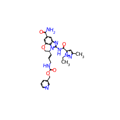 CCn1nc(C)cc1C(=O)Nc1nc2cc(C(N)=O)cc3c2n1[C@@H](/C=C/CNC(=O)OCc1cccnc1)CO3